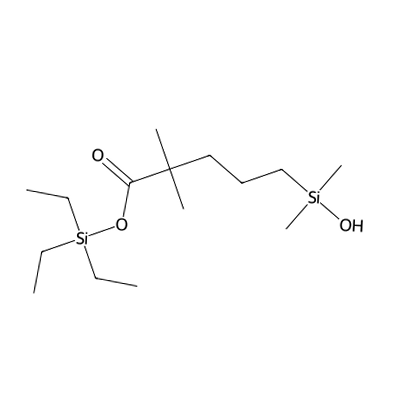 CC[Si](CC)(CC)OC(=O)C(C)(C)CCC[Si](C)(C)O